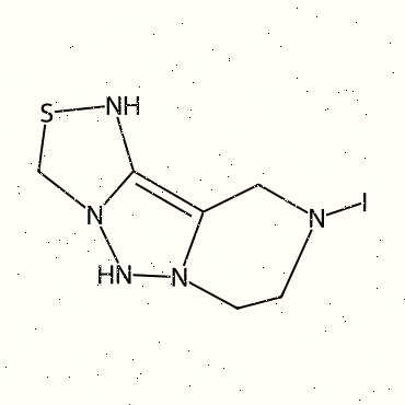 IN1CCN2NN3CSNC3=C2C1